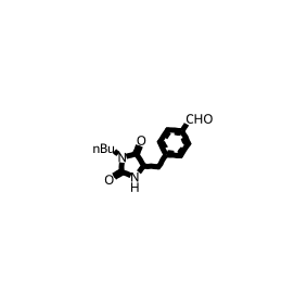 CCCCN1C(=O)NC(Cc2ccc(C=O)cc2)C1=O